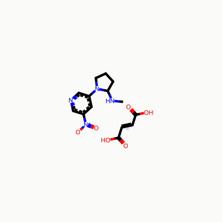 CNC1CCCN1c1cncc([N+](=O)[O-])c1.O=C(O)/C=C/C(=O)O